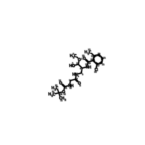 COC(O)[C@H](CNC(=O)CNC(=O)OC(C)(C)C)NC(=O)c1c(C)cccc1Cl